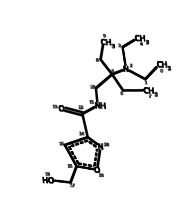 CCN(CC)C(CC)(CC)CNC(=O)c1cc(CO)on1